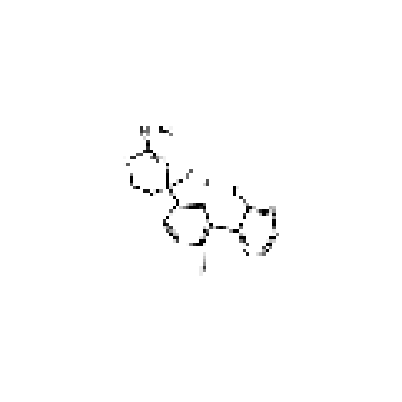 CC(=O)NC1=NC(C)(c2ccc(F)c(-c3nccnc3F)c2)CCS1